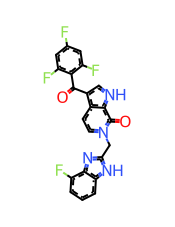 O=C(c1c(F)cc(F)cc1F)c1c[nH]c2c(=O)n(Cc3nc4c(F)cccc4[nH]3)ccc12